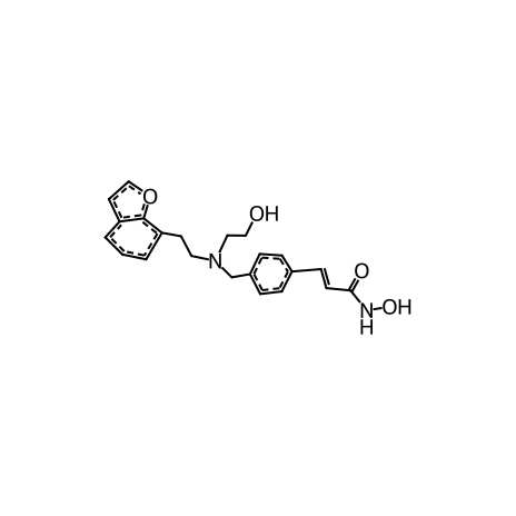 O=C(/C=C/c1ccc(CN(CCO)CCc2cccc3ccoc23)cc1)NO